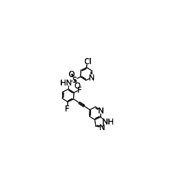 O=S(=O)(Nc1ccc(F)c(C#Cc2cnc3[nH]ncc3c2)c1F)c1cncc(Cl)c1